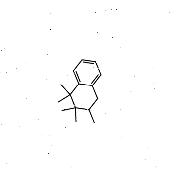 CC1Cc2ccccc2C(C)(C)C1(C)C